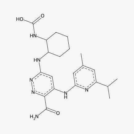 Cc1cc(Nc2cc(NC3CCCCC3NC(=O)O)nnc2C(N)=O)nc(C(C)C)c1